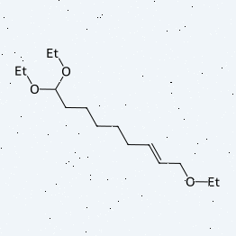 CCOCC=CCCCCCC(OCC)OCC